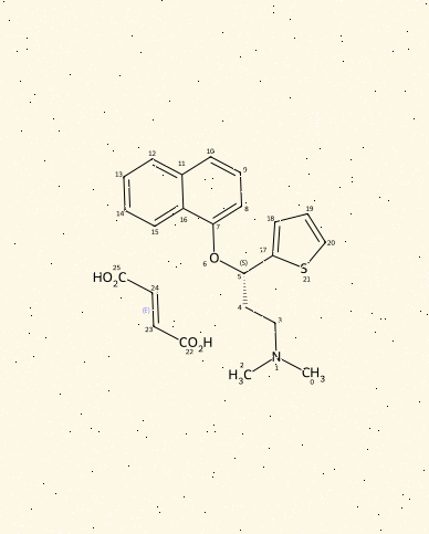 CN(C)CC[C@H](Oc1cccc2ccccc12)c1cccs1.O=C(O)/C=C/C(=O)O